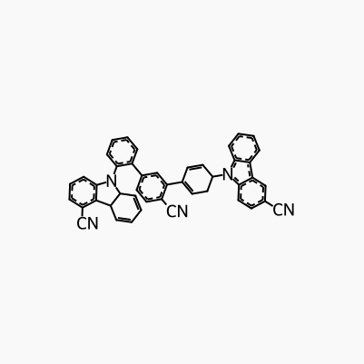 N#Cc1ccc2c(c1)c1ccccc1n2C1C=CC(c2cc(-c3ccccc3N3c4cccc(C#N)c4C4C=CC=CC43)ccc2C#N)=CC1